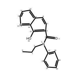 CCCN(C(=O)c1ccc2cccnc2c1O)c1ccccc1